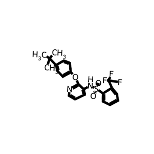 CC(C)(C)c1ccc(Oc2ncccc2NS(=O)(=O)c2ccccc2C(F)(F)F)cc1